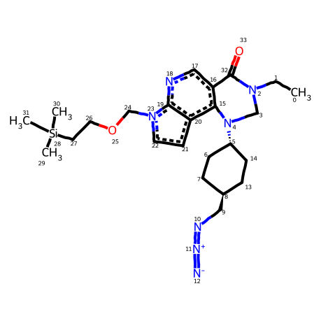 CCN1CN([C@H]2CC[C@H](CN=[N+]=[N-])CC2)c2c(cnc3c2ccn3COCC[Si](C)(C)C)C1=O